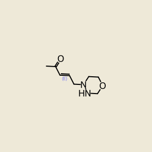 CC(=O)/C=C/CN1CCOCN1